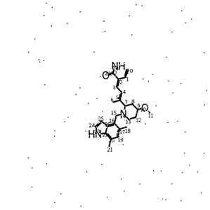 C=C/C(=C\C=C(/C)C1CC(OC)CCN1Cc1c(C)cc(C)c2[nH]ccc12)C(N)=O